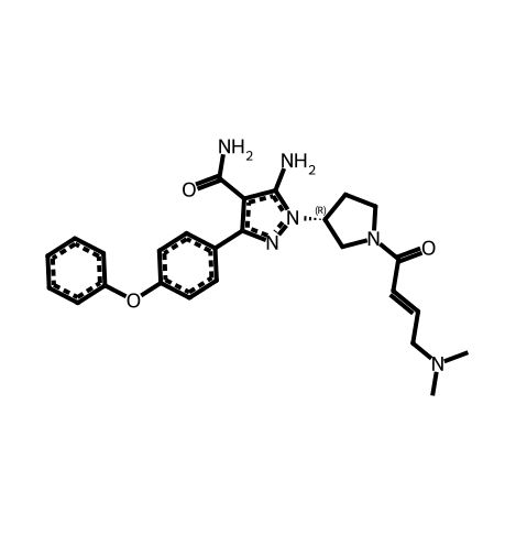 CN(C)CC=CC(=O)N1CC[C@@H](n2nc(-c3ccc(Oc4ccccc4)cc3)c(C(N)=O)c2N)C1